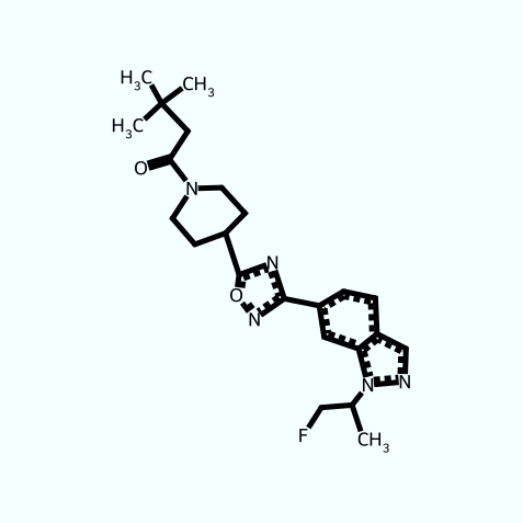 CC(CF)n1ncc2ccc(-c3noc(C4CCN(C(=O)CC(C)(C)C)CC4)n3)cc21